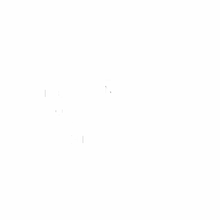 CCC(CC(=O)O)NC1CCc2ccccc21